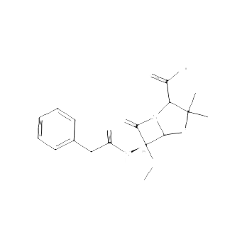 CO[C@]1(NC(=O)Cc2ccccc2)C(=O)N2C(C(=O)O)C(C)(C)SC21